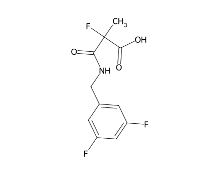 CC(F)(C(=O)O)C(=O)NCc1cc(F)cc(F)c1